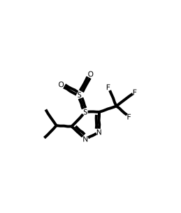 CC(C)C1=NN=C(C(F)(F)F)S1=S(=O)=O